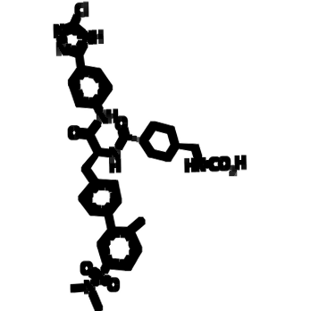 Cc1ccc(S(=O)(=O)N(C)C)cc1-c1ccc(C[C@H](NC(=O)[C@H]2CC[C@H](CNC(=O)O)CC2)C(=O)Nc2ccc(-c3nnc(Cl)[nH]3)cc2)cc1